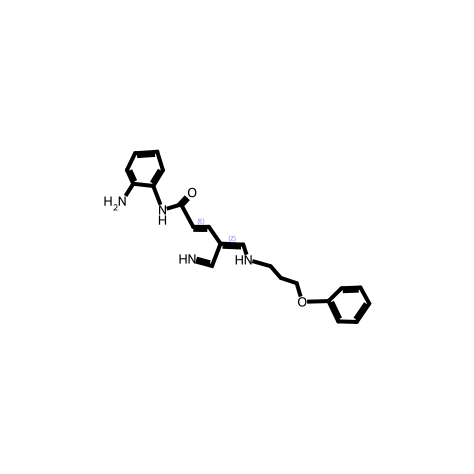 N=CC(=C\NCCCOc1ccccc1)/C=C/C(=O)Nc1ccccc1N